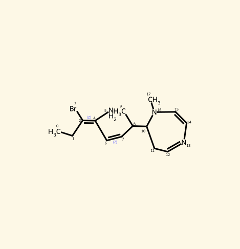 CC/C(Br)=C(N)\C=C/C(C)C1CC=NC=CN1C